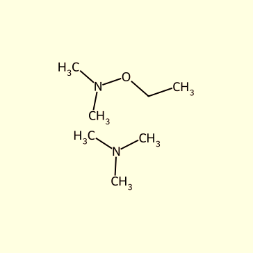 CCON(C)C.CN(C)C